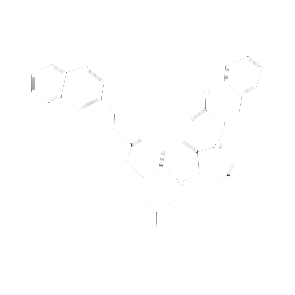 CC(C)C[C@H](NC(=O)CCc1cnc2ccccc2c1)C(=O)N[C@@H](CC(=O)O)C(=O)N[C@@H](Cc1ccccc1)C(N)=O